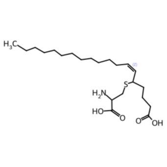 CCCCCCCCCCCC/C=C\C(CCCC(=O)O)SCC(N)C(=O)O